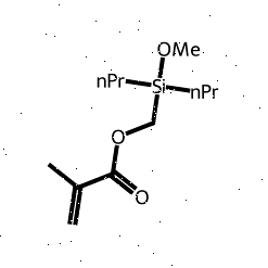 C=C(C)C(=O)OC[Si](CCC)(CCC)OC